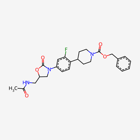 CC(=O)NCC1CN(c2ccc(C3CCN(C(=O)OCc4ccccc4)CC3)c(F)c2)C(=O)O1